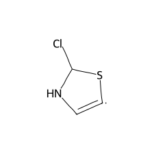 ClC1NC=[C]S1